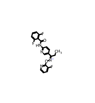 CC/C(=N/Oc1ncccc1F)c1ccc(NC(=O)c2c(F)cccc2F)nc1